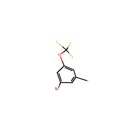 [CH2]c1cc(Br)cc(OC(F)(F)F)c1